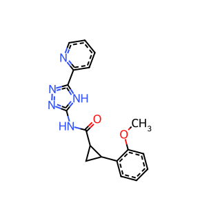 COc1ccccc1C1CC1C(=O)Nc1nnc(-c2ccccn2)[nH]1